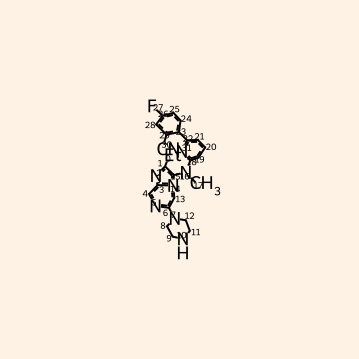 CCc1nc2cnc(N3CCNCC3)cn2c1N(C)c1cccc(-c2ccc(F)cc2C#N)n1